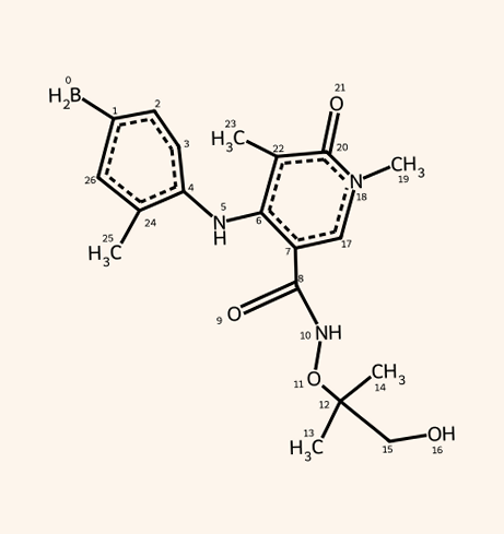 Bc1ccc(Nc2c(C(=O)NOC(C)(C)CO)cn(C)c(=O)c2C)c(C)c1